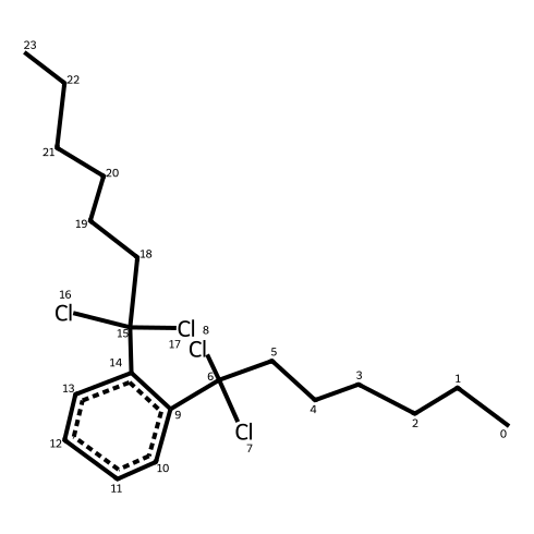 CCCCCCC(Cl)(Cl)c1ccccc1C(Cl)(Cl)CCCCCC